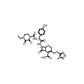 CCN1CCN(C(=O)N[C@@H](C(=O)N[C@@H]2C(=O)C3C(C(=O)O)=C(CSc4nnnn4C)CSC32)c2ccc(O)cc2)C(=O)C1=O